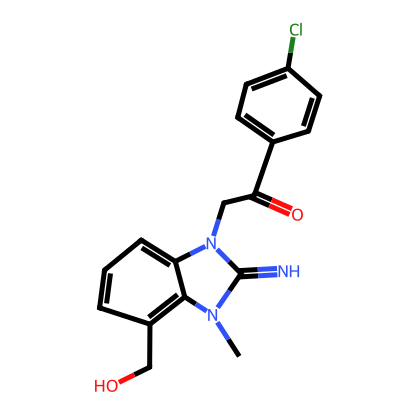 Cn1c(=N)n(CC(=O)c2ccc(Cl)cc2)c2cccc(CO)c21